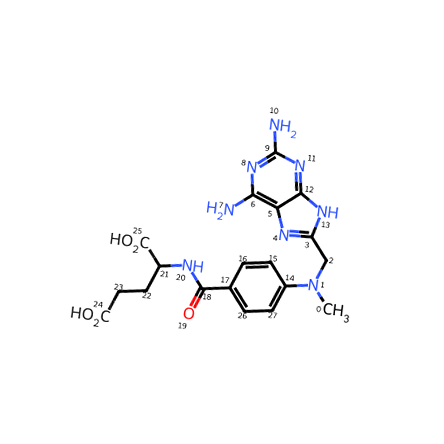 CN(Cc1nc2c(N)nc(N)nc2[nH]1)c1ccc(C(=O)NC(CCC(=O)O)C(=O)O)cc1